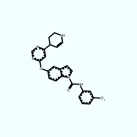 O=C(Nc1cccc(C(F)(F)F)c1)n1ccc2cc(Oc3cc(C4C=CNCC4)ncn3)ccc21